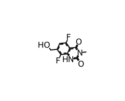 Cn1c(=O)[nH]c2c(F)c(CO)cc(F)c2c1=O